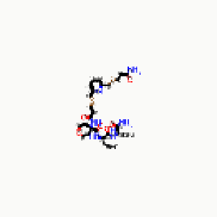 CC(C)C[C@H](NC(=O)C1(NC(=O)CCSCc2cccc(CSCCC(N)=O)n2)CCOCC1)C(=O)N[C@H](C(N)=O)C(C)(C)C